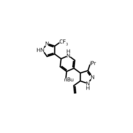 C=CC1NN=C(C(C)C)C1C1=CNC(c2c[nH]nc2C(F)(F)F)C=C1CCCC